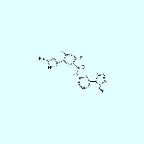 Cc1cc(F)c(C(=O)Nc2cccc(-c3nnnn3C(C)C)n2)cc1-c1cnn(C(C)(C)C)c1